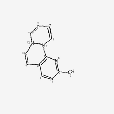 N#Cc1ncc2c(n1)N1C=CC=CN1C=C2